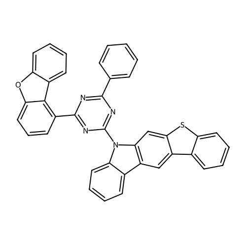 c1ccc(-c2nc(-c3cccc4oc5ccccc5c34)nc(-n3c4ccccc4c4cc5c(cc43)sc3ccccc35)n2)cc1